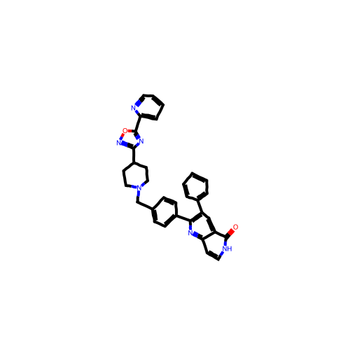 O=c1[nH]ccc2nc(-c3ccc(CN4CCC(c5noc(-c6ccccn6)n5)CC4)cc3)c(-c3ccccc3)cc12